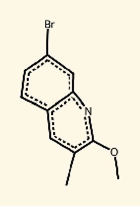 COc1nc2cc(Br)ccc2cc1C